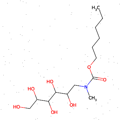 CCCCCCOC(=O)N(C)CC(O)C(O)C(O)C(O)CO